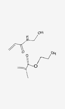 C=C(C)C(=O)OCCO.C=CC(=O)NCO